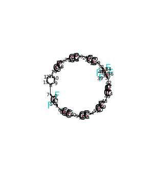 Fc1cc2c(F)cc1-c1ccc(cc1)-c1ccc(cc1)-c1ccc(cc1)-c1ccc(cc1)-c1c(F)c(F)c(c(F)c1F)-c1ccc(cc1)-c1ccc(cc1)-c1ccc(cc1)-c1ccc-2cc1